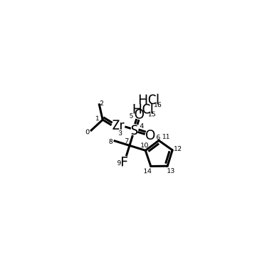 C[C](C)=[Zr][S](=O)(=O)C(C)(F)C1=CC=CC1.Cl.Cl